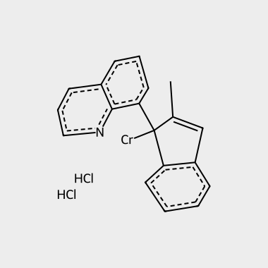 CC1=Cc2ccccc2[C]1([Cr])c1cccc2cccnc12.Cl.Cl